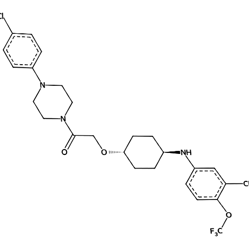 O=C(CO[C@H]1CC[C@H](Nc2ccc(OC(F)(F)F)c(C(F)(F)F)c2)CC1)N1CCN(c2ccc(Cl)cc2)CC1